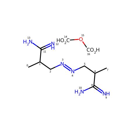 CC(CN=NCC(C)C(=N)N)C(=N)N.O=C(O)OC(=O)O